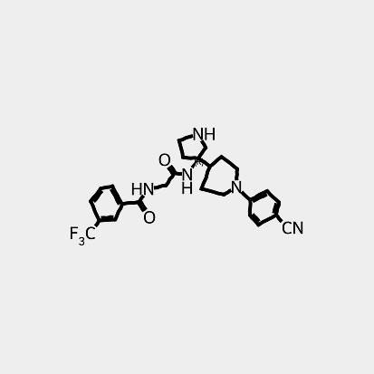 N#Cc1ccc(N2CCC([C@]3(NC(=O)CNC(=O)c4cccc(C(F)(F)F)c4)CCNC3)CC2)cc1